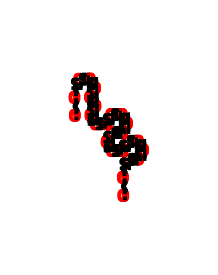 COCCCOCC[Si](C)(C)O[Si](C)(C)O[Si](C)(C)O[Si](C)(C)O[Si](C)(C)O[Si](C)(C)O[Si](C)(C)O[Si](C)(C)O[Si](C)(C)O[Si](C)(C)O[Si](C)(C)O[Si](C)(C)O[Si](C)(C)O[Si](C)(C)O[Si](C)(C)O[Si](C)(C)O[Si](C)(C)O[Si](C)(C)O[Si](C)(C)O[Si](C)(C)O[Si](C)(C)O[Si](C)(C)CCOCCCOC